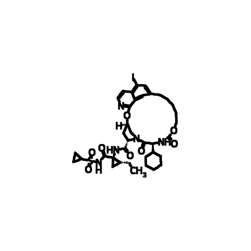 CC[C@@H]1C[C@]1(NC(=O)[C@@H]1C[C@@H]2CN1C(=O)[C@H](C1CCCCC1)NC(=O)OCCCCCc1cc(I)c3ccnc(c3c1)O2)C(=O)NS(=O)(=O)C1CC1